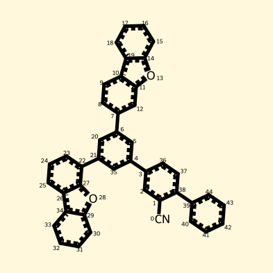 N#Cc1cc(-c2cc(-c3ccc4c(c3)oc3ccccc34)cc(-c3cccc4c3oc3ccccc34)c2)ccc1-c1ccccc1